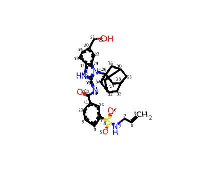 C=CCNS(=O)(=O)c1cccc(C(=O)/N=c2\[nH]c3ccc(CO)cc3n2C23CC4CC(CC(C4)C2)C3)c1